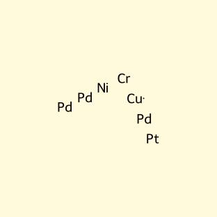 [Cr].[Cu].[Ni].[Pd].[Pd].[Pd].[Pt]